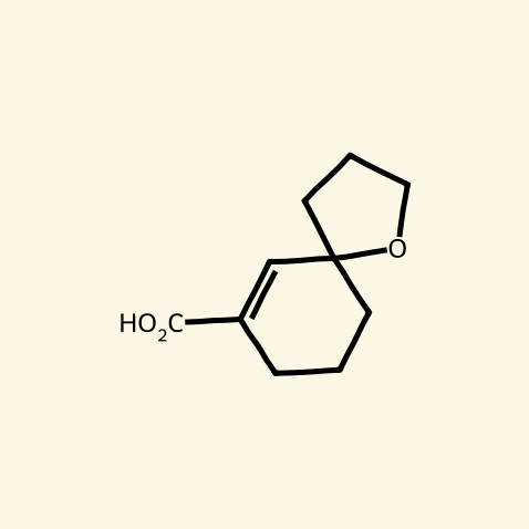 O=C(O)C1=CC2(CCCO2)CCC1